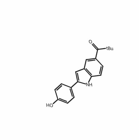 CC(C)(C)C(=O)c1ccc2[nH]c(-c3ccc(O)cc3)cc2c1